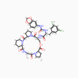 C[C@H]1CC2C(=O)OC[C@H](NC(=O)[C@H](Cc3cc(F)cc(F)c3)NC(=O)Nc3ccc4c(c3)OCO4)C(=O)N3CCCC3C(=O)N3CCCCC3C(=O)N[C@@H](C)C(=O)N2C1